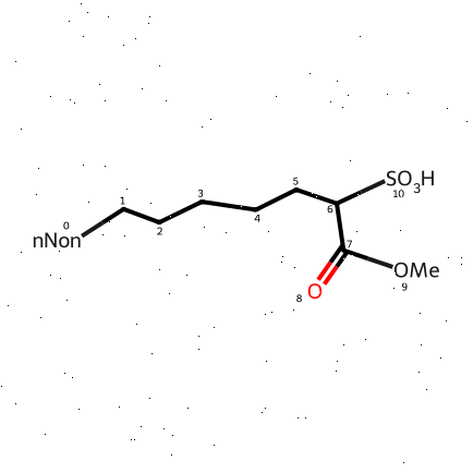 CCCCCCCCCCCCCCC(C(=O)OC)S(=O)(=O)O